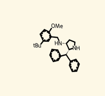 COc1ccc(C(C)(C)C)cc1CN[C@@H]1CCN[C@@H]1C(c1ccccc1)c1ccccc1